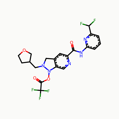 O=C(Nc1cccc(C(F)F)n1)c1cc2c(cn1)N(OC(=O)C(F)(F)F)N(CC1CCOC1)C2